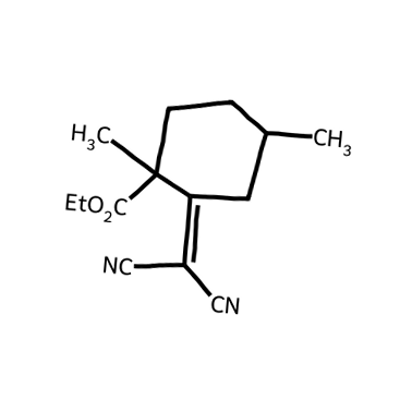 CCOC(=O)C1(C)CCC(C)CC1=C(C#N)C#N